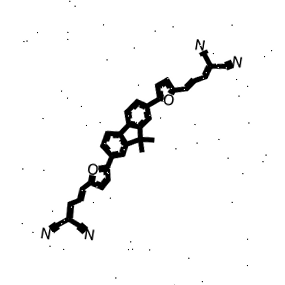 CC1(C)c2cc(-c3ccc(/C=C/C=C(C#N)C#N)o3)ccc2-c2ccc(-c3ccc(/C=C/C=C(C#N)C#N)o3)cc21